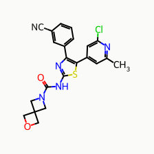 Cc1cc(-c2sc(NC(=O)N3CC4(COC4)C3)nc2-c2cccc(C#N)c2)cc(Cl)n1